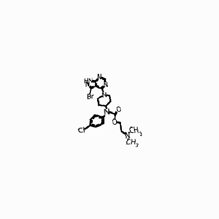 CN(C)CCOC(=O)N(c1ccc(Cl)cc1)C1CCN(c2ncnc3[nH]nc(Br)c23)CC1